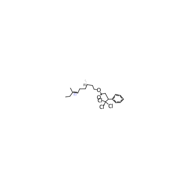 CC/C(C)=C/CC[C@H](C)CCOC(=O)CC(c1ccccc1)C(Cl)(Cl)Cl